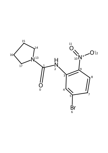 O=C(Nc1cc(Br)ccc1[N+](=O)[O-])N1CCCC1